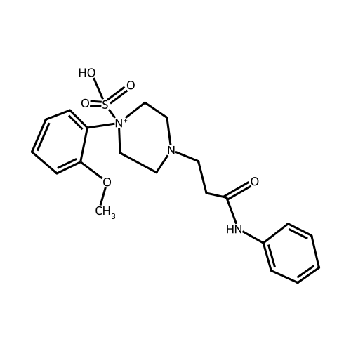 COc1ccccc1[N+]1(S(=O)(=O)O)CCN(CCC(=O)Nc2ccccc2)CC1